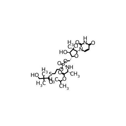 CC(C)OC(=O)[C@@H](C)N[P@](=O)(OCCSC(=O)C(C)(C)CO)OC[C@H]1O[C@@H](n2ccc(=O)[nH]c2=O)[C@](C)(Cl)[C@@H]1O